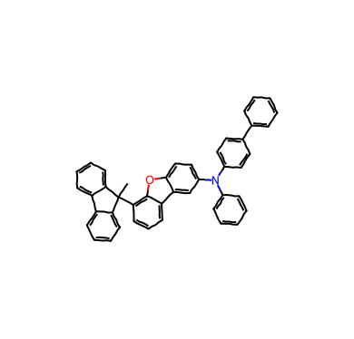 CC1(c2cccc3c2oc2ccc(N(c4ccccc4)c4ccc(-c5ccccc5)cc4)cc23)c2ccccc2-c2ccccc21